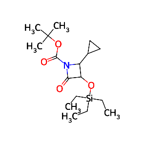 CC[Si](CC)(CC)OC1C(=O)N(C(=O)OC(C)(C)C)C1C1CC1